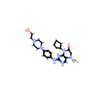 CN1CC(=O)N(C2CCCC2)c2nc(Nc3ccc(N4CCN(CCO)CC4)cc3)ncc21